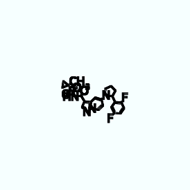 CC1(S(=O)(=O)NC(=O)c2cnn3ccc(N4CCCC4c4cc(F)ccc4F)cc23)CC1